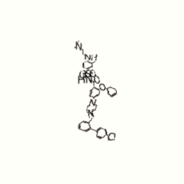 Cc1cc(S(=O)(=O)NC(=O)c2ccc(N3CCN(Cc4ccccc4-c4ccc(Cl)cc4)CC3)cc2Oc2ccccc2)ccc1NCCN(C)C